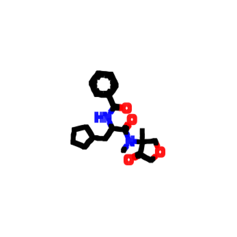 CN(C(=O)C(CC1CCCC1)NC(=O)c1ccccc1)C1(C)COCC1=O